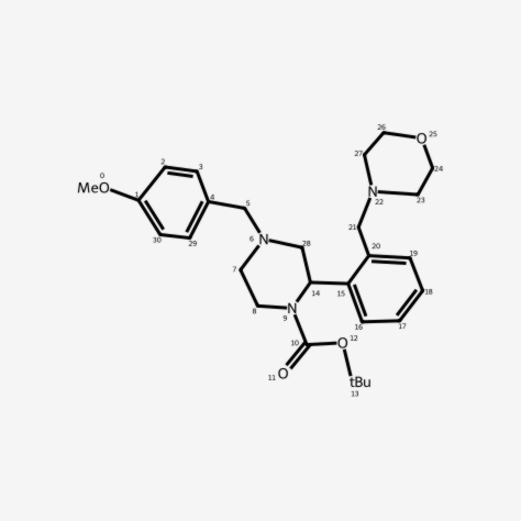 COc1ccc(CN2CCN(C(=O)OC(C)(C)C)C(c3ccccc3CN3CCOCC3)C2)cc1